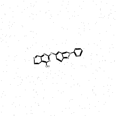 Oc1nc(Oc2ccc3nn(-c4ccccc4)cc3c2)nc2cnccc12